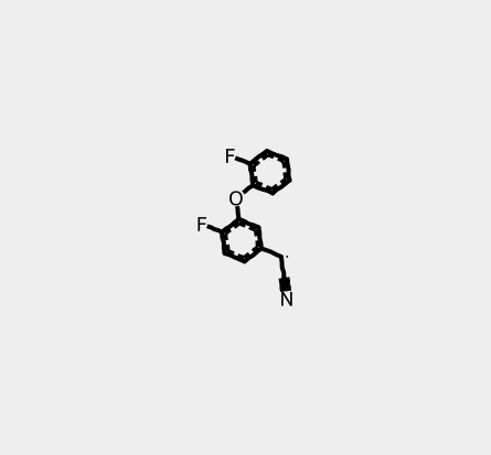 N#C[CH]c1ccc(F)c(Oc2ccccc2F)c1